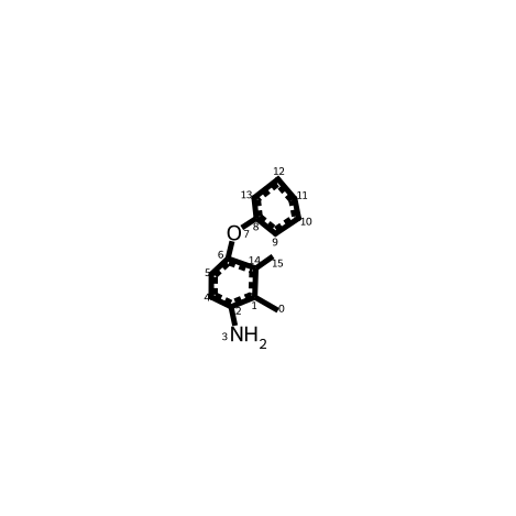 Cc1c(N)ccc(Oc2ccccc2)c1C